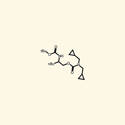 CCCCC(COC(=O)N(CC1CC1)CC1CC1)NC(=O)OC(C)(C)C